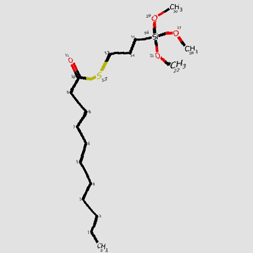 CCCCCCCCCCC(=O)SCCC[Si](OC)(OC)OC